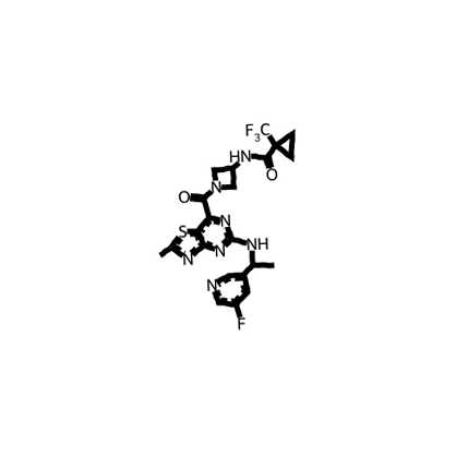 Cc1nc2nc(NC(C)c3cncc(F)c3)nc(C(=O)N3CC(NC(=O)C4(C(F)(F)F)CC4)C3)c2s1